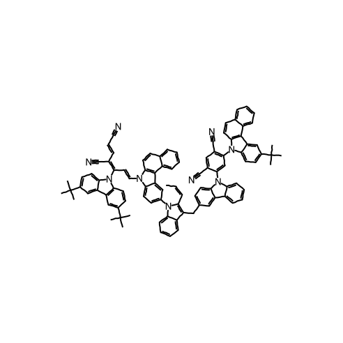 C/C=C\c1c(Cc2ccc3c(c2)c2ccccc2n3-c2cc(-n3c4ccc(C(C)(C)C)cc4c4c5ccccc5ccc43)c(C#N)cc2C#N)c2ccccc2n1-c1ccc2c(c1)c1c3ccccc3ccc1n2/C=C/C(=C(C#N)\C=C\C#N)n1c2ccc(C(C)(C)C)cc2c2cc(C(C)(C)C)ccc21